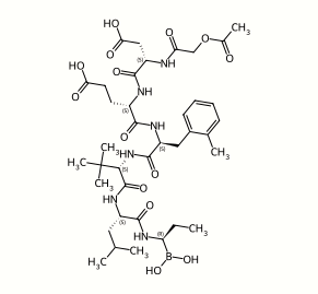 CC[C@H](NC(=O)[C@H](CC(C)C)NC(=O)[C@@H](NC(=O)[C@H](Cc1ccccc1C)NC(=O)[C@H](CCC(=O)O)NC(=O)[C@H](CC(=O)O)NC(=O)COC(C)=O)C(C)(C)C)B(O)O